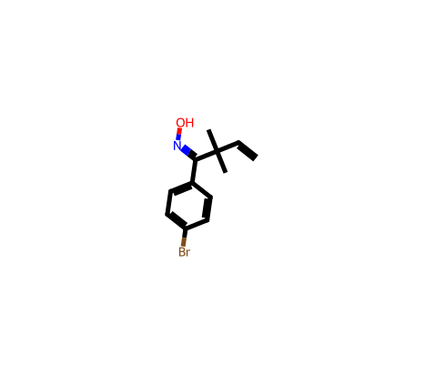 C=CC(C)(C)C(=NO)c1ccc(Br)cc1